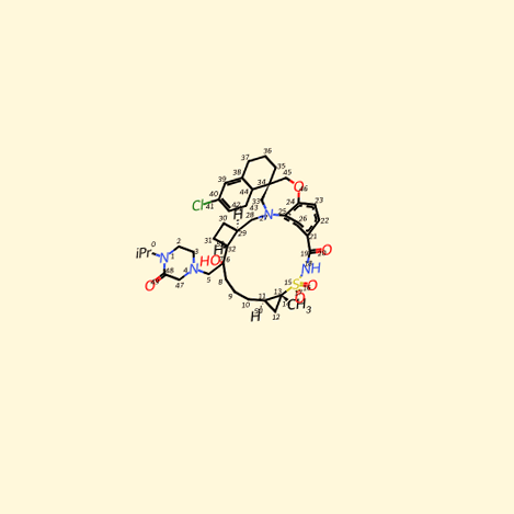 CC(C)N1CCN(C[C@@]2(O)CCC[C@@H]3C[C@@]3(C)S(=O)(=O)NC(=O)c3ccc4c(c3)N(C[C@@H]3CC[C@H]32)C[C@@]2(CCCC3=CC(Cl)=CCC32)CO4)CC1=O